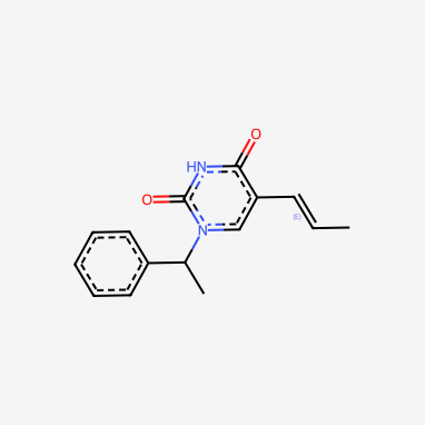 C/C=C/c1cn(C(C)c2ccccc2)c(=O)[nH]c1=O